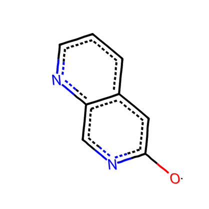 [O]c1cc2cccnc2cn1